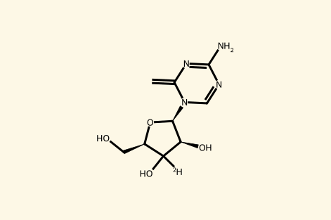 [2H]C1(O)[C@H](O)[C@H](N2C=NC(N)=NC2=C)O[C@@H]1CO